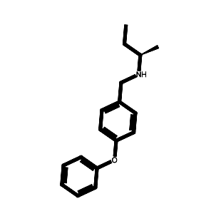 CC[C@@H](C)NCc1ccc(Oc2ccccc2)cc1